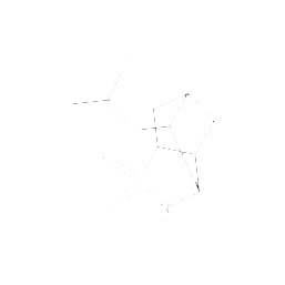 CC(Cl)OC1C2CC3C1NS(=O)(=O)C3C2